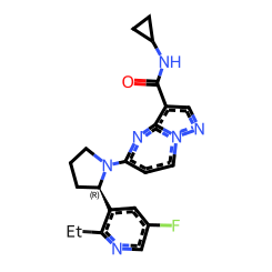 CCc1ncc(F)cc1[C@H]1CCCN1c1ccn2ncc(C(=O)NC3CC3)c2n1